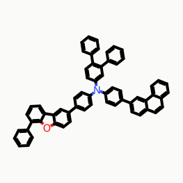 c1ccc(-c2ccc(N(c3ccc(-c4ccc5ccc6ccccc6c5c4)cc3)c3ccc(-c4ccc5oc6c(-c7ccccc7)cccc6c5c4)cc3)cc2-c2ccccc2)cc1